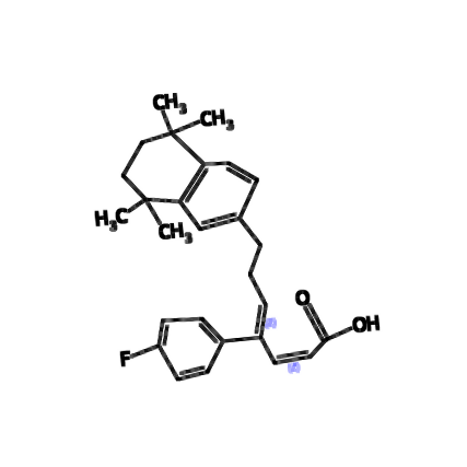 CC1(C)CCC(C)(C)c2cc(CC/C=C(/C=C\C(=O)O)c3ccc(F)cc3)ccc21